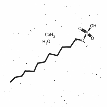 CCCCCCCCCCCCOS(=O)(=O)O.O.[CaH2]